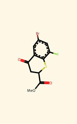 COC(=O)C1CC(=O)c2cc(Br)cc(F)c2S1